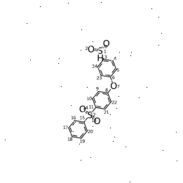 O=[SH](=O)c1ccc(Oc2ccc(S(=O)(=O)c3ccccc3)cc2)cc1